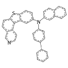 c1ccc(-c2ccc(N(c3ccc4ccccc4c3)c3ccc4sc5ccc6cnccc6c5c4c3)cc2)cc1